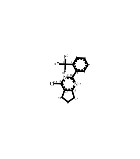 FC(F)(F)c1ccccc1-c1nc(Cl)c2c(n1)CCC2